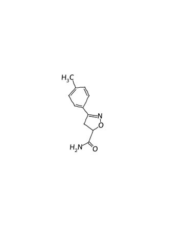 Cc1ccc(C2=NOC(C(N)=O)C2)cc1